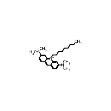 CCCCCCCCC[n+]1c2cc(N(C)C)ccc2cc2ccc(N(C)C)cc21